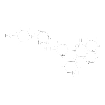 Cc1cccc2ccnc(N(C(=O)c3ccc(Nc4nccc(N5CCC(O)CC5)n4)cc3F)[C@@H]3CCCNC3)c12